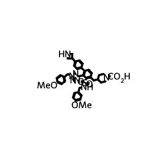 COc1ccc(CNS(=O)(=O)c2c(CC3CCN(C(=O)O)CC3)ccc(-c3ccc(C4CNC4)cc3)c2-c2nnn(Cc3ccc(OC)cc3)n2)cc1